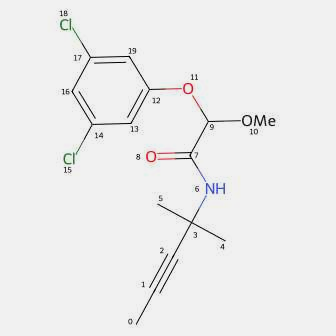 CC#CC(C)(C)NC(=O)C(OC)Oc1cc(Cl)cc(Cl)c1